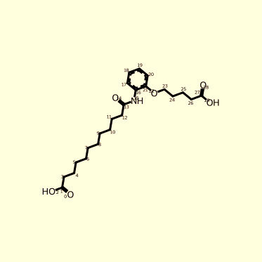 O=C(O)CCCCCCCCCCC(=O)Nc1ccccc1OCCCCC(=O)O